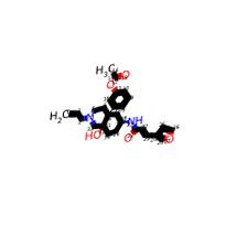 C=CCN1CC[C@@]2(c3cccc(OC(C)=O)c3)C[C@@H](NC(=O)C=Cc3ccoc3)CC[C@]2(O)C1